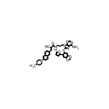 CN1CCN(c2ccc3cc(/C=C(\C#N)C(=O)NCCCn4c(Sc5cc6c(cc5-c5ccco5)OCO6)nc5c(N)ncnc54)ccc3c2)CC1